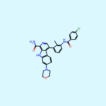 Cc1c(NC(=O)c2ccc(Cl)cc2)cccc1-c1cnc(C(N)=O)c2[nH]c3cc(N4CCOCC4)ccc3c12